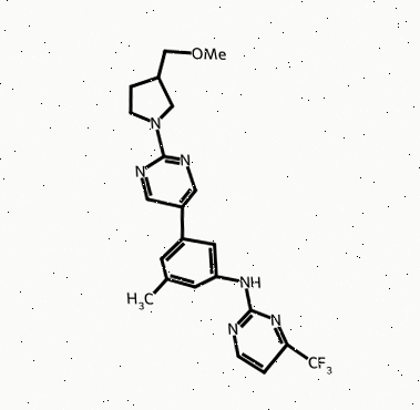 COCC1CCN(c2ncc(-c3cc(C)cc(Nc4nccc(C(F)(F)F)n4)c3)cn2)C1